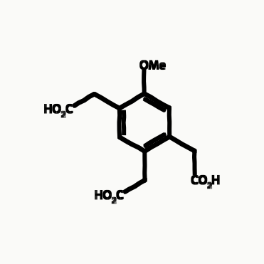 COc1cc(CC(=O)O)c(CC(=O)O)cc1CC(=O)O